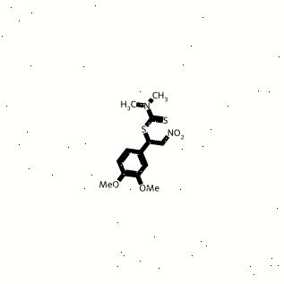 COc1ccc(C(C[N+](=O)[O-])SC(=S)N(C)C)cc1OC